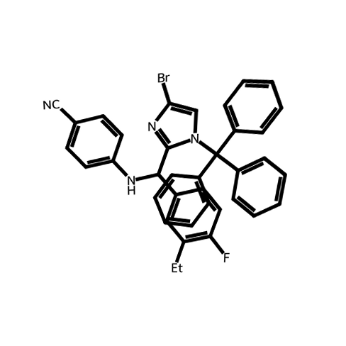 CCc1cc(C(Nc2ccc(C#N)cc2)c2nc(Br)cn2C(c2ccccc2)(c2ccccc2)c2ccccc2)ccc1F